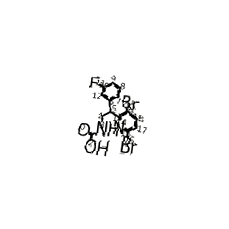 O=C(O)NCC(c1cccc(F)c1)c1nc(Br)ccc1Br